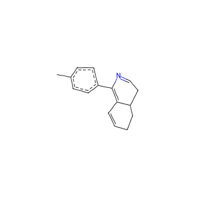 Cc1ccc(C2=C3C=CCCC3CC=N2)cc1